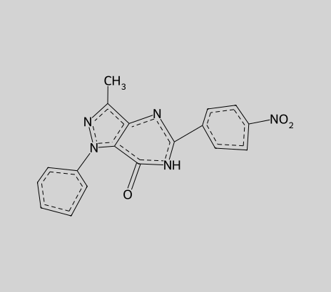 Cc1nn(-c2ccccc2)c2c(=O)[nH]c(-c3ccc([N+](=O)[O-])cc3)nc12